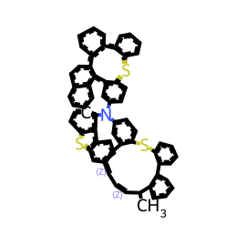 CC1/C=C\C=C/Cc2cc(N(c3ccc4sc5ccccc5c5ccccc5c5ccc6ccccc6c5c4c3)c3cccc4sc5ccccc5c34)ccc2Sc2ccccc2-c2ccccc21